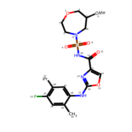 COC1COCCN(S(=O)(=O)NC(=O)c2coc(Nc3cc(C(C)C)c(F)cc3C)n2)C1